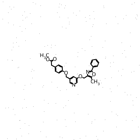 COC(=O)Cc1ccc(OCc2cncc(OCc3nc(-c4ccccc4)oc3C)c2)cc1